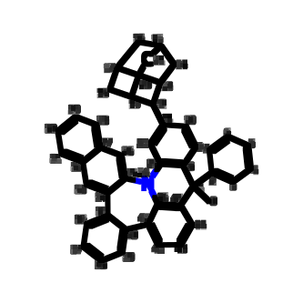 CC1(c2ccccc2)c2ccc(C3C4CC5CC6CC3C64C5)cc2N2c3cc4ccccc4cc3-c3ccccc3-c3cccc1c32